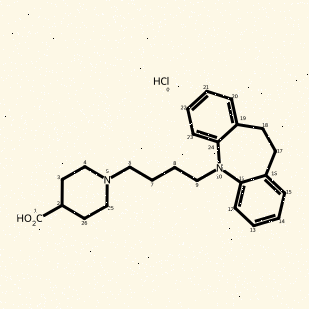 Cl.O=C(O)C1CCN(CCCCN2c3ccccc3CCc3ccccc32)CC1